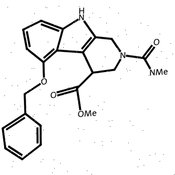 CNC(=O)N1Cc2[nH]c3cccc(OCc4ccccc4)c3c2C(C(=O)OC)C1